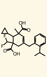 CC(C)c1ccccc1CC1=CC(C)(C(=O)O)C(C2CC2)C(C(=O)O)(C(F)F)C1